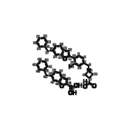 O=C(O)C1CN(Cc2ccc(-c3cc4ccc(Cc5ccccc5)cc4o3)c(F)c2)C1.OB(O)c1cc2ccc(Cc3ccccc3)cc2o1